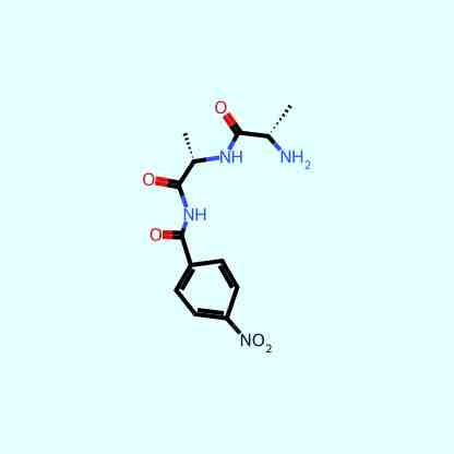 C[C@H](N)C(=O)N[C@@H](C)C(=O)NC(=O)c1ccc([N+](=O)[O-])cc1